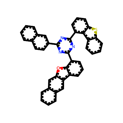 c1ccc2cc(-c3nc(-c4cccc5c4oc4cc6ccccc6cc45)nc(-c4cccc5sc6ccccc6c45)n3)ccc2c1